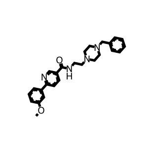 COc1cccc(-c2ccc(C(=O)NCCN3CCN(Cc4ccccc4)CC3)cn2)c1